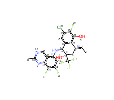 C/C=C1\C[C@@](O)(C(F)(F)F)[C@@H](Nc2cc(F)c(F)c3nc(C)ncc23)c2cc(Cl)c(F)c(O)c21